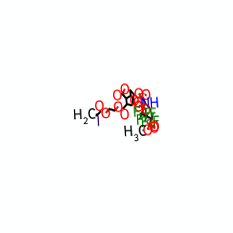 C=C(I)C(=O)OCCOC(=O)C1C2OC3C(OC(=O)C31)C2OS(=O)(=O)NS(=O)(=O)C(F)(F)C(F)(F)C(F)(F)S(=O)(=O)OC